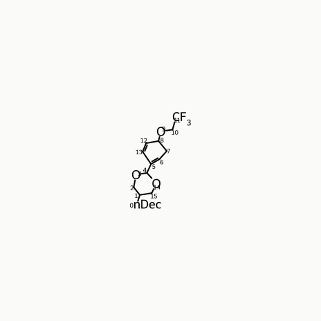 CCCCCCCCCCC1COC(C2=CCC(OCC(F)(F)F)C=C2)OC1